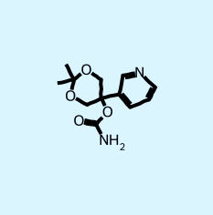 CC1(C)OCC(OC(N)=O)(c2cccnc2)CO1